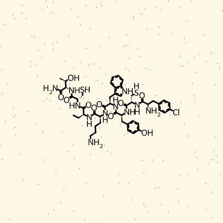 CC[C@H](NC(=O)[C@H](CCCCN)NC(=O)[C@@H](Cc1c[nH]c2ccccc12)NC(=O)[C@H](Cc1ccc(O)cc1)NC(=O)[C@H](CS)NC(=O)[C@H](N)Cc1ccc(Cl)cc1)C(=O)N[C@@H](CS)C(=O)N[C@H](C(N)=O)[C@@H](C)O